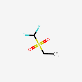 O=S(=O)(CC(F)(F)F)C(F)F